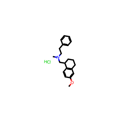 COc1ccc2c(c1)CCCC2CN(C)CCc1ccccc1.Cl